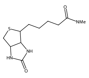 CNC(=O)CCCCC1SCC2NC(=O)NC21